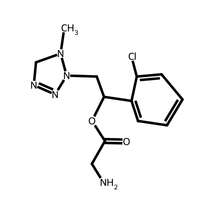 CN1CN=NN1CC(OC(=O)CN)c1ccccc1Cl